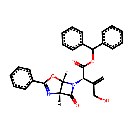 C=C(CO)[C@H](C(=O)OC(c1ccccc1)c1ccccc1)N1C(=O)[C@@H]2N=C(c3ccccc3)O[C@@H]21